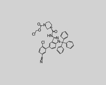 N#Cc1ccc(Cl)c(-c2ccc3c(c2)c(NC(=O)[C@@H]2CCCN(C(=O)OCCl)C2)nn3C(c2ccccc2)(c2ccccc2)c2ccccc2)c1